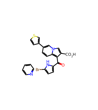 O=C(O)c1cn2cc(-c3ccsc3)ccc2c1C(=O)c1ccc(Br)[nH]1.c1ccncc1